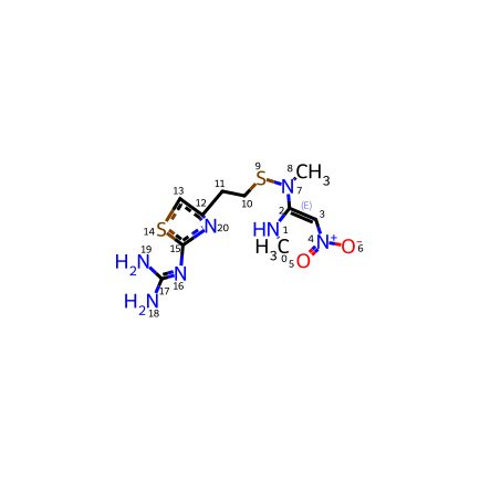 CN/C(=C\[N+](=O)[O-])N(C)SCCc1csc(N=C(N)N)n1